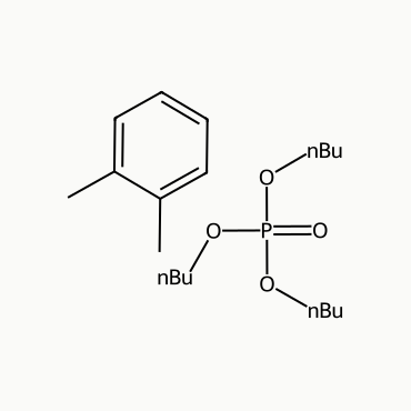 CCCCOP(=O)(OCCCC)OCCCC.Cc1ccccc1C